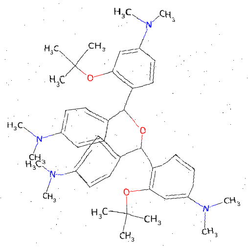 CN(C)c1ccc(C(OC(c2ccc(N(C)C)cc2)c2ccc(N(C)C)cc2OC(C)(C)C)c2ccc(N(C)C)cc2OC(C)(C)C)cc1